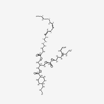 CCCCC/C=C\C/C=C\CCCCCCCC(=O)OCC(COC(=O)OCCCN(CC)CC)COC(=O)C1CCC(CCC)CC1